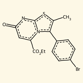 CCOC(=O)c1cc(=O)nc2sc(C)c(-c3ccc(Br)cc3)n12